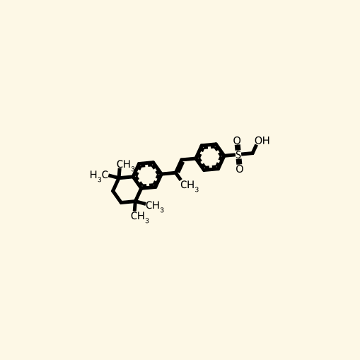 CC(=Cc1ccc(S(=O)(=O)CO)cc1)c1ccc2c(c1)C(C)(C)CCC2(C)C